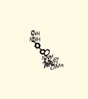 CCCN(C(=O)[C@@H](NC(=O)OC)C(C)C)[C@@H](C)c1nc2c([nH]1)CCCc1cc(-c3ccc(-c4cnc([C@@H]5CCCN5)[nH]4)cc3)ccc1-2